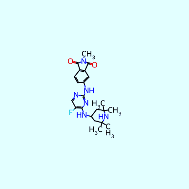 CN1C(=O)c2ccc(Nc3ncc(F)c(NC4CC(C)(C)NC(C)(C)C4)n3)cc2C1=O